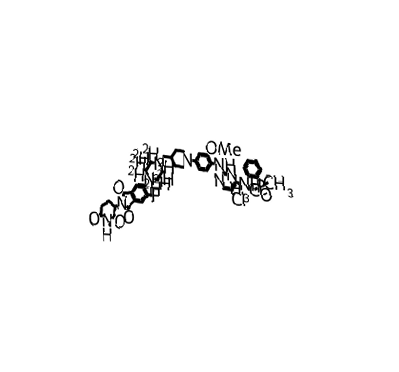 [2H]C1([2H])N(CC2CCN(c3ccc(Nc4ncc(Cl)c(Nc5ccccc5P(C)(C)=O)n4)c(OC)c3)CC2)C([2H])([2H])C([2H])([2H])N(c2cc3c(cc2F)C(=O)N(C2CCC(=O)NC2=O)C3=O)C1([2H])[2H]